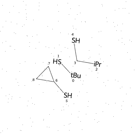 CC(C)(C)S.CC(C)CS.SC1CC1